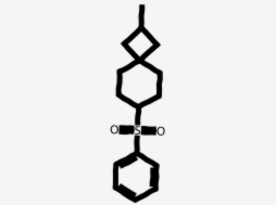 CC1CC2(CCC(S(=O)(=O)c3ccccc3)CC2)C1